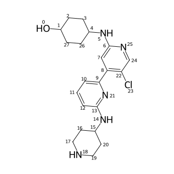 OC1CCC(Nc2cc(-c3cccc(NC4CCNCC4)n3)c(Cl)cn2)CC1